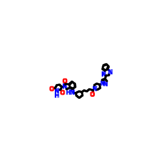 O=C1CCC(N2Cc3c(NC4CCCC(CCCC(=O)N5CCC(n6cc(-c7cnc8ccccc8n7)cn6)CC5)C4)cccc3C2=O)C(=O)N1